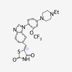 CCN1CCN(c2ccc(-n3cnc4ccc(/C=C5\SC(=O)NC5=O)cc43)c(OC(F)(F)F)c2)CC1